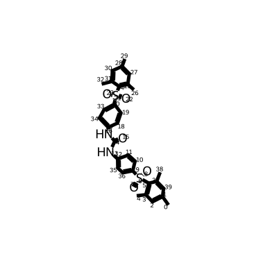 Cc1cc(C)c(S(=O)(=O)c2ccc(NC(=O)Nc3ccc(S(=O)(=O)c4c(C)cc(C)cc4C)cc3)cc2)c(C)c1